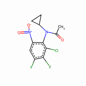 CC(=O)N(c1c([N+](=O)[O-])cc(F)c(F)c1Cl)C1CC1